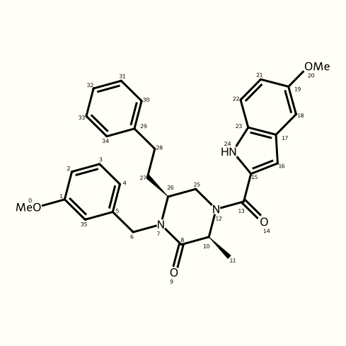 COc1cccc(CN2C(=O)[C@H](C)N(C(=O)c3cc4cc(OC)ccc4[nH]3)C[C@@H]2CCc2ccccc2)c1